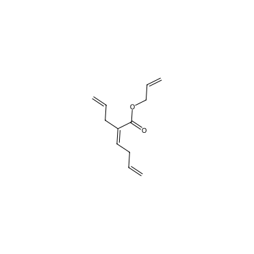 C=CCC=C(CC=C)C(=O)OCC=C